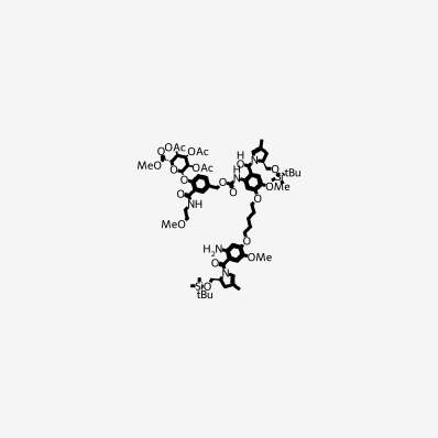 COCCNC(=O)c1cc(COC(=O)Nc2cc(OCCCCCOc3cc(N)c(C(=O)N4C=C(C)C[C@H]4CO[Si](C)(C)C(C)(C)C)cc3OC)c(OC)cc2C(O)N2C=C(C)C[C@H]2CO[Si](C)(C)C(C)(C)C)ccc1O[C@@H]1O[C@H](C(=O)OC)[C@@H](OC(C)=O)[C@H](OC(C)=O)[C@H]1OC(C)=O